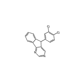 Clc1ccc(C2c3ccccc3-c3ncncc32)cc1Cl